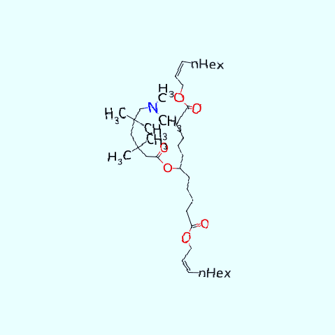 CCCCCC/C=C\COC(=O)CCCCC(CCCCC(=O)OC/C=C\CCCCCC)OC(=O)CC(C)(C)CC(C)(C)CN(C)C